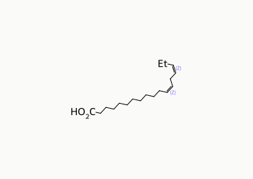 CC/C=C\C/C=C\CCCCCCCCCCC(=O)O